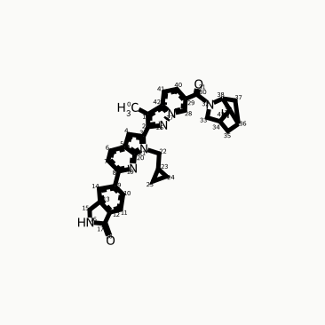 Cc1c(-c2cc3ccc(-c4ccc5c(c4)CNC5=O)nc3n2CC2CC2)nn2cc(C(=O)N3CC4CC5CC3[C@H]54)ccc12